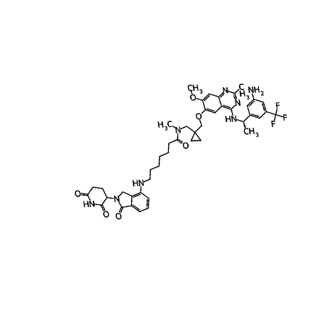 COc1cc2nc(C)nc(N[C@H](C)c3cc(N)cc(C(F)(F)F)c3)c2cc1OCC1(CN(C)C(=O)CCCCCCNc2cccc3c2CN(C2CCC(=O)NC2=O)C3=O)CC1